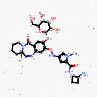 Cn1cc(NOc2cc3c(cc2O[C@@H]2OC(CO)[C@H](O)[C@H](O)[C@H]2O)C(=O)N2CCCC[C@H]2C=N3)cc1C(=O)N[C@H]1CCC1N